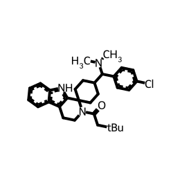 CN(C)C(c1ccc(Cl)cc1)C1CCC2(CC1)c1[nH]c3ccccc3c1CCN2C(=O)CC(C)(C)C